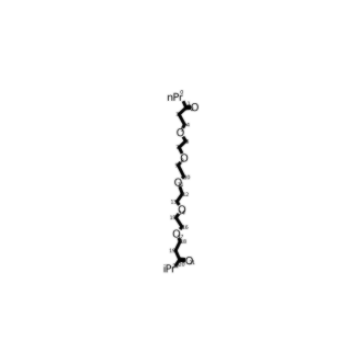 CCCC(=O)CCOCCOCCOCCOCCOCCC(=O)C(C)C